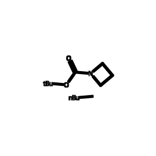 CC(C)(C)OC(=O)N1CCC1.CCCCC